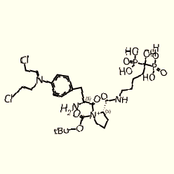 CC(C)(C)OC(=O)[N+]1(C(=O)[C@@H](N)Cc2ccc(N(CCCl)CCCl)cc2)CCC[C@H]1C(=O)NCCCCC(O)(P(=O)(O)O)P(=O)(O)O